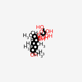 CC1(C)CC[C@]2(C(=O)O[C@H]3OC(CO)[C@@H](O)C(O)[C@H]3O)[C@H](O)C[C@]3(C)C(=CCC4[C@@]5(C)CC[C@H](O)C(C)(C)C5CC[C@]43C)[C@@H]2C1